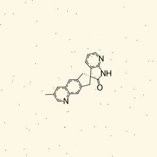 Cc1cnc2cc3c(cc2c1)C[C@@]1(C3)C(=O)Nc2ncccc21